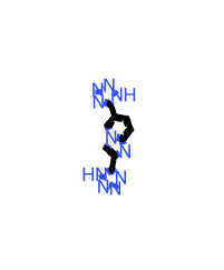 c1cc2nc(-c3nnn[nH]3)cn2cc1-c1nnn[nH]1